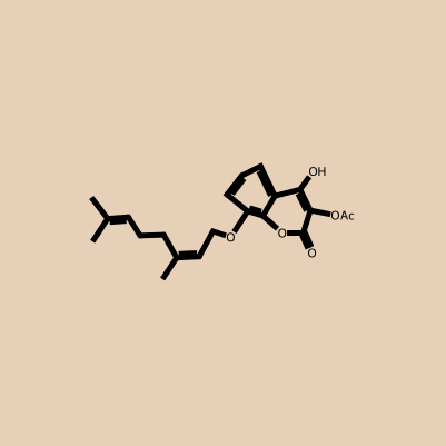 CC(=O)Oc1c(O)c2cccc(OCC=C(C)CCC=C(C)C)c2oc1=O